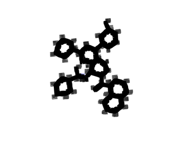 C=C(c1ccc2c(-c3cccc(C)c3)cc(-c3ccccc3)nc2c1/N=C(\C)c1ccccc1)c1cccc2ccccc12